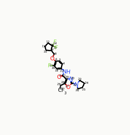 O=C(Nc1ccc(OCC2CCCC2(F)F)c(F)c1)c1nc(N2CCCC2)oc1CC(F)(F)F